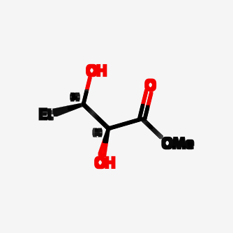 CC[C@@H](O)[C@H](O)C(=O)OC